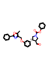 Cc1oc(-c2ccccc2)nc1COc1cccc([C@@H]2CN(C(=O)Oc3ccccc3)CC2C=O)c1